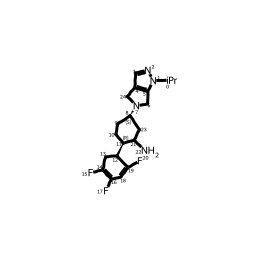 CC(C)n1ncc2c1CN([C@H]1CC[C@H](C3CC(F)=C(F)C=C3F)C(N)C1)C2